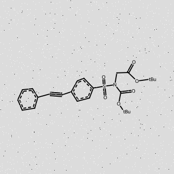 CC(C)(C)OC(=O)CN(C(=O)OC(C)(C)C)S(=O)(=O)c1ccc(C#Cc2ccccc2)cc1